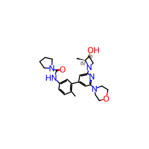 Cc1ccc(NC(=O)N2CCCC2)cc1-c1cc(N2CCOCC2)nc(N2C[C@@H](O)[C@@H]2C)c1